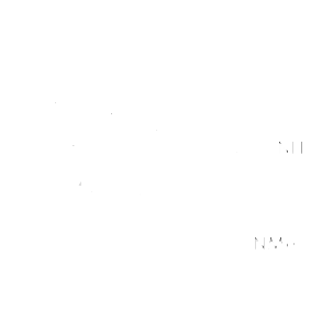 CNc1cc2c(cc1N)C(C)(C)C(C)(C)C2(C)C